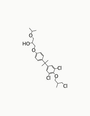 CC(CCl)COc1c(Cl)cc(C(C)(C)c2ccc(OCC(O)COC(C)C)cc2)cc1Cl